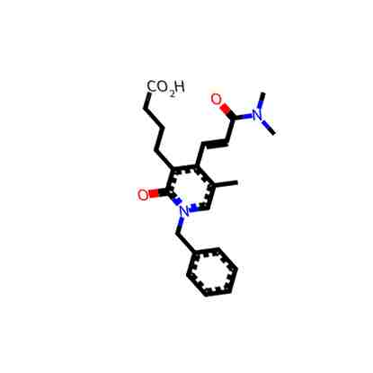 Cc1cn(Cc2ccccc2)c(=O)c(CCCC(=O)O)c1C=CC(=O)N(C)C